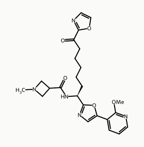 COc1ncccc1-c1cnc([C@H](CCCCCC(=O)c2ncco2)NC(=O)C2CN(C)C2)o1